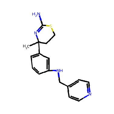 CC1(c2cccc(NCc3ccncc3)c2)CCSC(N)=N1